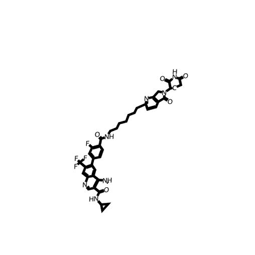 CNc1c(C(=O)NC2CC2)cnc2cc(C(F)(F)F)c(-c3ccc(C(=O)NCCCCCCCc4ccc5c(n4)CN(C4CCC(=O)NC4=O)C5=O)c(F)c3)cc12